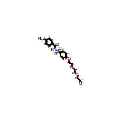 Cc1ccc(C(=O)NS(=O)(=O)c2ccc(OCCOCCOCCCl)cc2)cc1